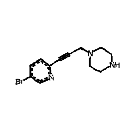 Brc1ccc(C#CCN2CCNCC2)nc1